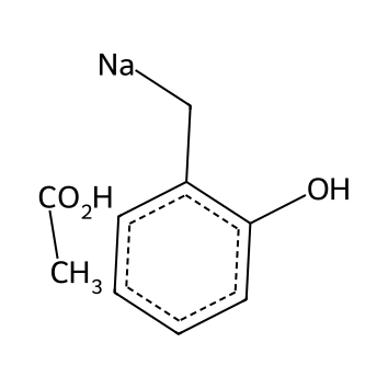 CC(=O)O.Oc1ccccc1[CH2][Na]